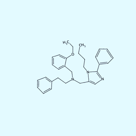 CCCCn1c(CN(CCc2ccccc2)Cc2ccccc2OCC)cnc1-c1ccccc1